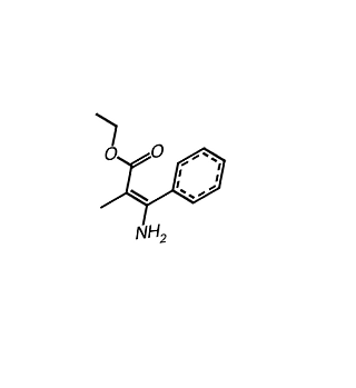 CCOC(=O)C(C)=C(N)c1ccccc1